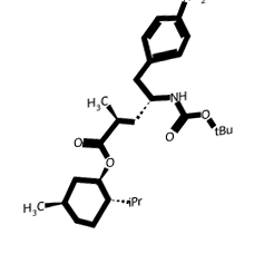 CC(C)[C@@H]1CC[C@@H](C)C[C@H]1OC(=O)[C@@H](C)C[C@H](Cc1ccc([N+](=O)[O-])cc1)NC(=O)OC(C)(C)C